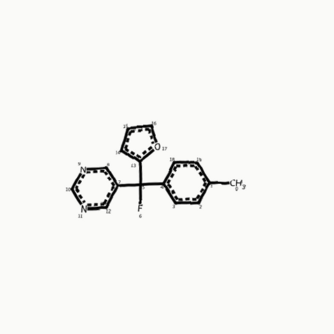 Cc1ccc(C(F)(c2cncnc2)c2ccco2)cc1